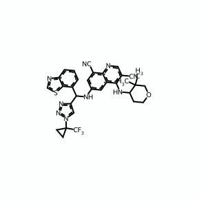 CC1(C)COCCC1Nc1c(C#N)cnc2c(C#N)cc(NC(c3cn(C4(C(F)(F)F)CC4)nn3)c3cccc4ncsc34)cc12